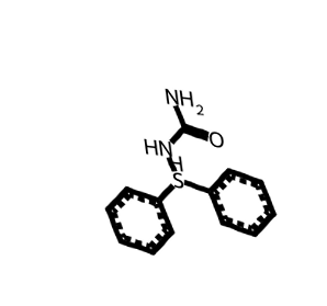 NC(=O)N[SH](c1ccccc1)c1ccccc1